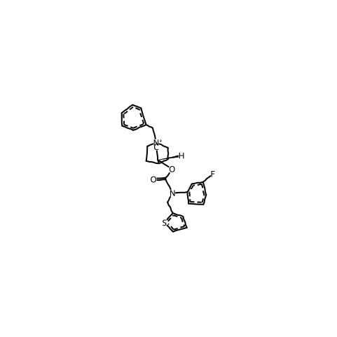 O=C(O[C@H]1C[N+]2(Cc3ccccc3)CCC1CC2)N(Cc1cccs1)c1cccc(F)c1